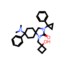 CN(C)C1(c2ccccc2)CCC2(CC1)CN(C1(c3ccccc3)CC1)C(=O)N2CC1(O)CCC1